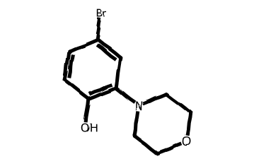 Oc1ccc(Br)cc1N1CCOCC1